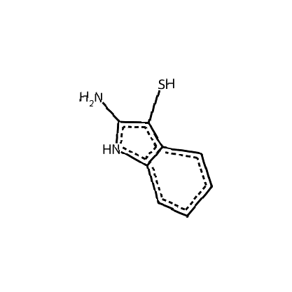 Nc1[nH]c2ccccc2c1S